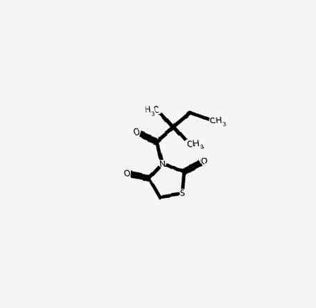 CCC(C)(C)C(=O)N1C(=O)CSC1=O